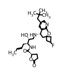 C/C=C/C[C@H](NC(=O)[C@H]1CCC(=O)O1)[C@H](O)CN[C@H]1CC2(CC(F)C2)Oc2ncc(CC(C)(C)C)cc21